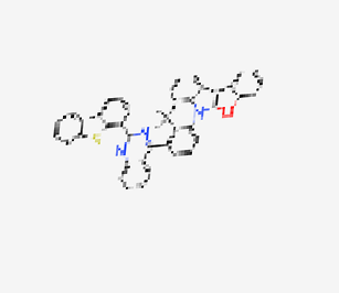 CC1(C)c2c(-c3nc(-c4cccc5c4sc4ccccc45)nc4ccccc34)cccc2-n2c3oc4ccccc4c3c3cccc1c32